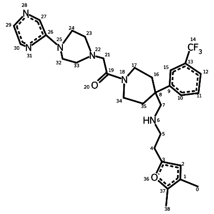 Cc1cc(CCNCC2(c3cccc(C(F)(F)F)c3)CCN(C(=O)CN3CCN(c4cnccn4)CC3)CC2)oc1C